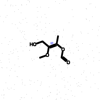 CO/C(CO)=C(/C)OC=O